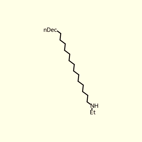 CCCCCCCCCCCCCCCCCCCCCCCCNCC